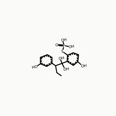 CCC(c1cccc(O)c1)C(O)(O)c1cc(O)ccc1SP(=O)(O)O